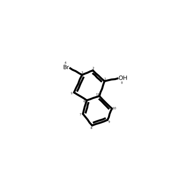 Oc1cc(Br)cc2ccccc12